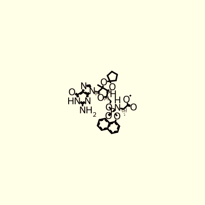 COC(=O)[C@H](C)NP(=O)(OC[C@H]1O[C@@H](n2cnc3c(=O)[nH]c(N)nc32)C2(C)OC3(CCCC3)O[C@@H]12)Oc1cccc2ccccc12